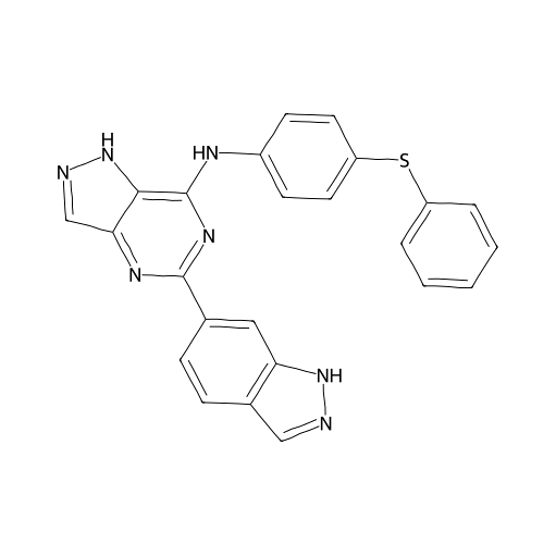 c1ccc(Sc2ccc(Nc3nc(-c4ccc5cn[nH]c5c4)nc4cn[nH]c34)cc2)cc1